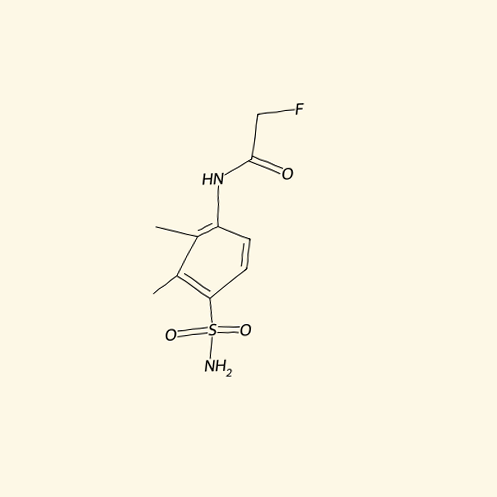 Cc1c(NC(=O)CF)ccc(S(N)(=O)=O)c1C